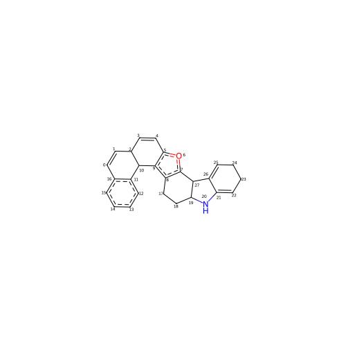 C1=CC2C=Cc3oc4c(c3C2c2ccccc21)CCC1NC2=CCCC=C2C41